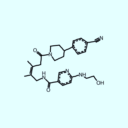 CC(CNC(=O)c1ccc(NCCO)nc1)=C(C)CC(=O)N1CCC(c2ccc(C#N)cc2)CC1